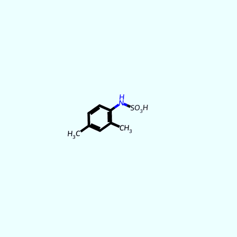 Cc1ccc(NS(=O)(=O)O)c(C)c1